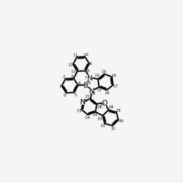 c1ccc2c(c1)B1N(c3ccccc3-2)c2ccccc2N1c1nccc2c1oc1ccccc12